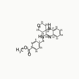 COC(=O)c1ccc(CNC2=Nc3ccccc3NC23CCOCC3)cc1